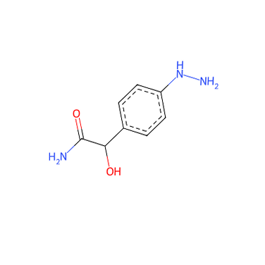 NNc1ccc(C(O)C(N)=O)cc1